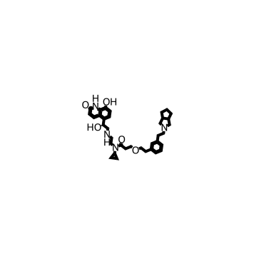 O=C(CCOCCc1cccc(CCN2CC3CCCC3C2)c1)N(CCNC[C@H](O)c1ccc(O)c2[nH]c(=O)ccc12)C1CC1